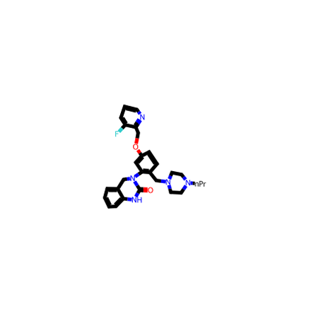 CCCN1CCN(Cc2ccc(OCc3ncccc3F)cc2N2Cc3ccccc3NC2=O)CC1